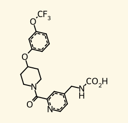 O=C(O)NCc1ccnc(C(=O)N2CCC(Oc3cccc(OC(F)(F)F)c3)CC2)c1